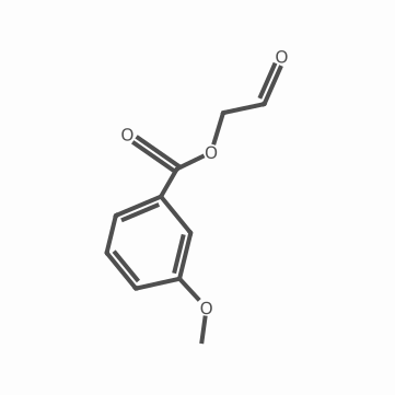 COc1cccc(C(=O)OCC=O)c1